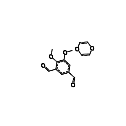 C1=COC=CO1.COc1cc(C=O)cc(C=O)c1OC